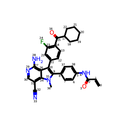 C=CC(=O)Nc1ccc(-c2c(-c3ccc(C(=O)C4CCCCC4)c(F)c3)c3c(N)ncc(C#N)c3n2C)cc1